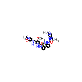 COc1cc(C(=O)Nc2cccc(C3=CC=CC(NC(=O)c4nc5c(n4C)CCN(C)C5)C3Cl)c2C)ncc1CNc1ccn(C)c(=O)c1